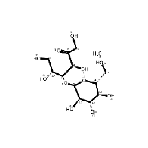 O.O=C(CO)[C@@H](O)[C@H](O[C@H]1O[C@H](CO)[C@@H](O)[C@H](O)[C@H]1O)[C@H](O)CO